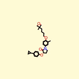 Cc1cc(N2CC[C@H](Oc3ccc(C4CC4)cc3)C2=O)ccc1OCCCCC1(C)COC1